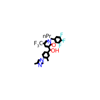 CCCC(c1cc(F)c(F)c(F)c1)n1cc(C(F)(F)F)cc(C(O)c2ccc(-n3cnc(C)c3)c(C)c2)c1=O